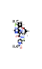 CC(=O)N1CC[C@H](NC(=O)c2c(C)[nH]c3c(-c4c(OCC5CC5)ccc(C)c4F)ncnc23)[C@H](F)C1